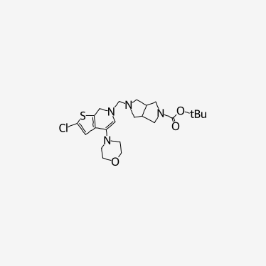 CC(C)(C)OC(=O)N1CC2CN(CN3C=C(N4CCOCC4)c4cc(Cl)sc4C3)CC2C1